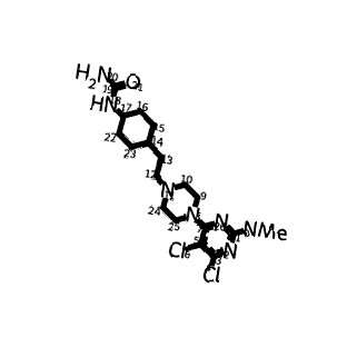 CNc1nc(Cl)c(Cl)c(N2CCN(CCC3CCC(NC(N)=O)CC3)CC2)n1